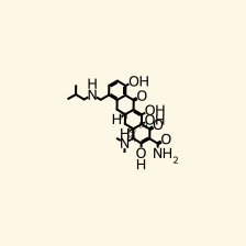 CC(C)CNCc1ccc(O)c2c1C[C@H]1C[C@H]3[C@H](N(C)C)C(O)=C(C(N)=O)C(=O)[C@@]3(O)C(O)=C1C2=O